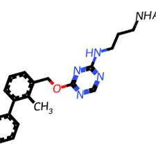 CC(=O)NCCCNc1ncnc(OCc2cccc(-c3ccccc3)c2C)n1